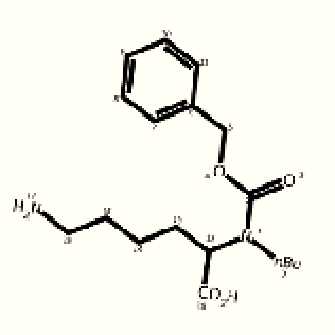 CCCCN(C(=O)OCc1ccccc1)C(CCCCN)C(=O)O